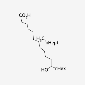 CCCCCCC(O)CCCCCCCCCCC(=O)O.CCCCCCCC